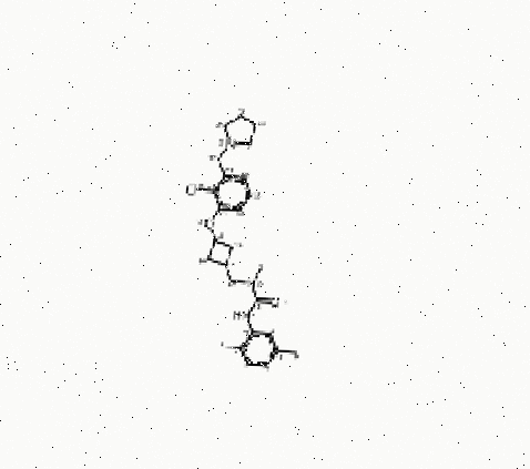 Cc1ccc(C)c(NC(=O)N(C)CC2CC(Oc3cccc(CN4CCCC4)c3Cl)C2)c1